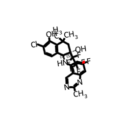 Cc1ncc2c(N[C@H]3c4ccc(Cl)c(O)c4C(C)(C)C[C@@]3(O)C(F)(F)C(F)(F)F)cc(F)cc2n1